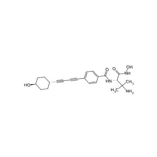 CC(C)(N)[C@H](NC(=O)c1ccc(C#CC#C[C@H]2CC[C@H](O)CC2)cc1)C(=O)NO